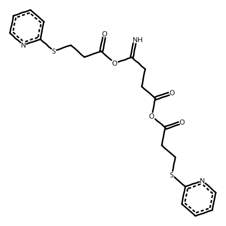 N=C(CCC(=O)OC(=O)CCSc1ccccn1)OC(=O)CCSc1ccccn1